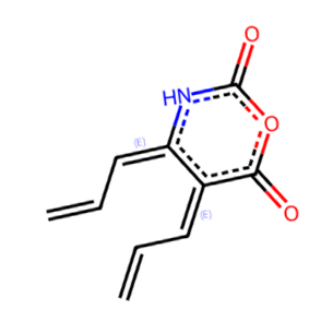 C=C/C=c1/[nH]c(=O)oc(=O)/c1=C/C=C